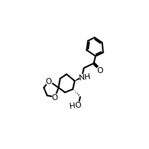 O=C(CN[C@@H]1CCC2(C[C@H]1CO)OCCO2)c1ccccc1